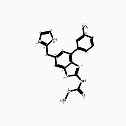 CC(C)(C)OC(=O)Nc1nc2c(-c3cccc([N+](=O)[O-])c3)cc(Cc3ncc[nH]3)cc2s1